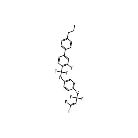 CCCc1ccc(-c2ccc(C(F)(F)Oc3ccc(OC(F)(F)C=C(F)F)cc3)c(F)c2)cc1